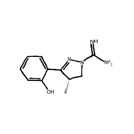 C[C@H]1CN(C(=N)N)N=C1c1ccccc1O